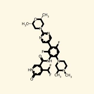 CC1CN(c2cc(F)c(-c3cnc(N4C[C@@H](C)O[C@@H](C)C4)nc3)c(F)c2NC(=O)c2c[nH]c(=O)cc2C(F)F)CCN1C